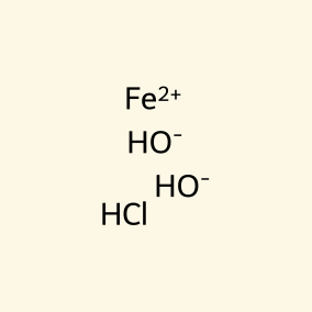 Cl.[Fe+2].[OH-].[OH-]